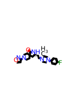 C[C@H]1CN(c2ccc(F)cc2)CCN1CC[C@H]1CC2(CCN(c3ccon3)CC2)C(=O)N1